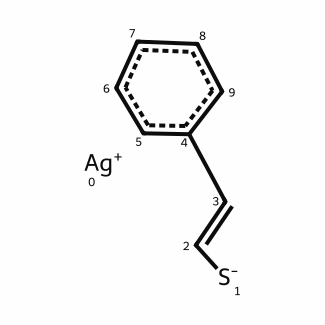 [Ag+].[S-]C=Cc1ccccc1